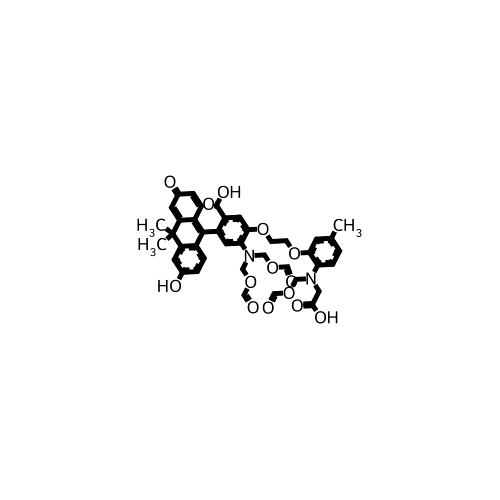 Cc1ccc(N(COC=O)CC(=O)O)c(OCCOc2cc(C(=O)O)c(C3=C4C=CC(=O)C=C4C(C)(C)c4cc(O)ccc43)cc2N(COC=O)COC=O)c1